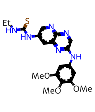 CCNC(=S)Nc1cnc2ncc(Nc3cc(OC)c(OC)c(OC)c3)nc2c1